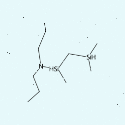 CCCN(CCC)[SiH](C)C[SiH](C)C